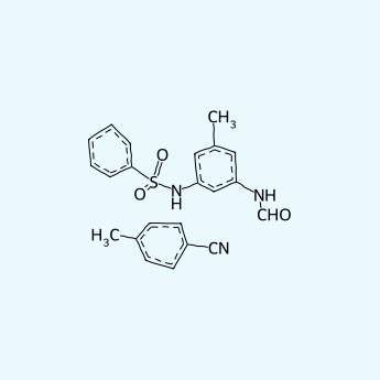 Cc1cc(NC=O)cc(NS(=O)(=O)c2ccccc2)c1.Cc1ccc(C#N)cc1